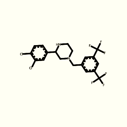 FC(F)(F)c1cc(CN2CCNC(c3ccc(Cl)c(Cl)c3)C2)cc(C(F)(F)F)c1